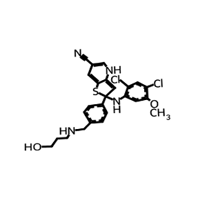 COc1cc(NC2(c3ccc(CNCCCO)cc3)C=C3NC=C(C#N)C=C3S2)c(Cl)cc1Cl